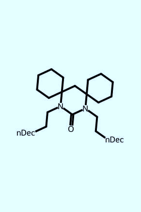 CCCCCCCCCCCCN1C(=O)N(CCCCCCCCCCCC)C2(CCCCC2)CC12CCCCC2